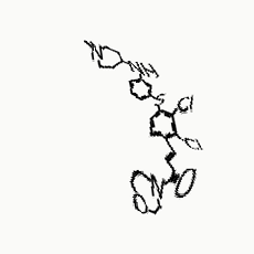 CN1CCC(Nc2cccc(Sc3ccc(C=CC(=O)N4CCOCC4)c(Cl)c3Cl)c2)CC1